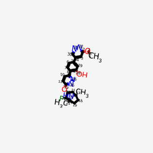 COc1cc(-c2ccc(-c3ccc(O[C@H]4C[C@]5(C)CC[C@@](C)(N5)[C@H]4F)nn3)c(O)c2)cnn1